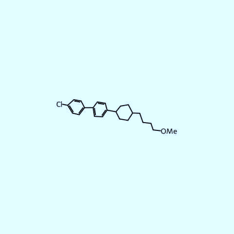 COCCCCC1CCC(c2ccc(-c3ccc(Cl)cc3)cc2)CC1